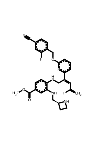 C=C(F)/C=C(\CNc1ccc(C(=O)OC)cc1NC[C@@H]1CCN1)c1cccc(OCc2ccc(C#N)cc2F)n1